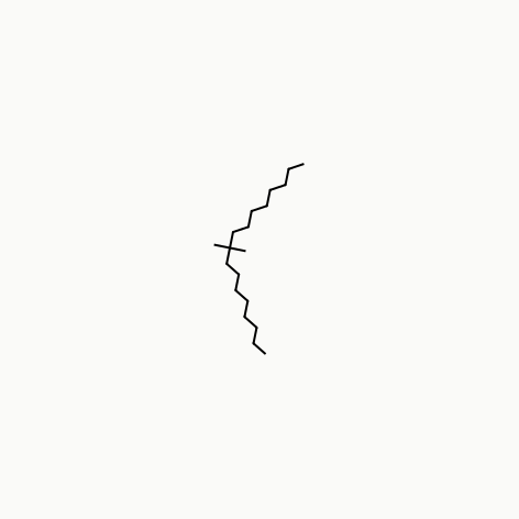 CCCCCCCCC(C)(C)CCCCCCCC